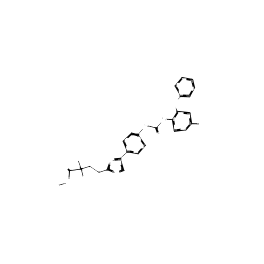 COC(=O)C(C)(C)CCc1ncc(-c2ccc(NC(=O)Nc3ccc(Cl)cc3Oc3ccccc3)cc2)s1